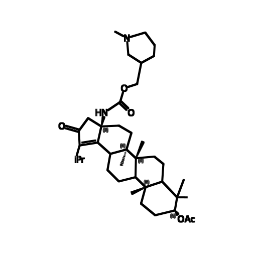 CC(=O)O[C@H]1CC[C@@]2(C)C(CC[C@]3(C)C2CCC2C4=C(C(C)C)C(=O)C[C@]4(NC(=O)OCC4CCCN(C)C4)CC[C@]23C)C1(C)C